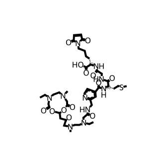 CCN(CCN(C)CC(=O)CC1OC(=O)CN(C)CCN(CC)CC(=O)O1)CC(=O)NCc1cc(C(=O)N[C@@H](CCSC)C(=O)NCC(=O)N[C@@H](CCCCN2C(=O)C=CC2=O)C(=O)O)ccn1